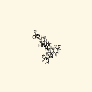 CC(=O)Nc1nc(-c2ccc(F)cc2)c(-c2ccnc(Nc3cccc(COC(C)=O)c3)n2)s1